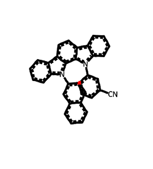 N#Cc1cccc(-n2c3ccccc3c3ccc4c5ccccc5n(-c5ccc6ccccc6c5)c4c32)c1